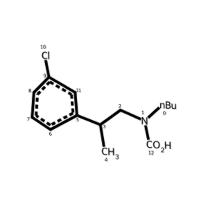 CCCCN(CC(C)c1cccc(Cl)c1)C(=O)O